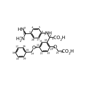 N=C(N)c1ccc(NC(C(=O)O)c2cc(OCc3ccccc3)ccc2OCC(=O)O)cc1